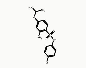 CC(C)Oc1ccc(S(=O)(=O)Nc2ccc(Cl)cc2)c(N)c1